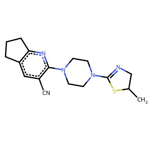 CC1CN=C(N2CCN(c3nc4c(cc3C#N)CCC4)CC2)S1